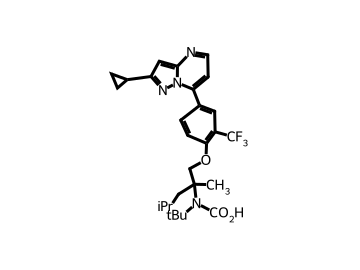 CC(C)CC(C)(COc1ccc(-c2ccnc3cc(C4CC4)nn23)cc1C(F)(F)F)N(C(=O)O)C(C)(C)C